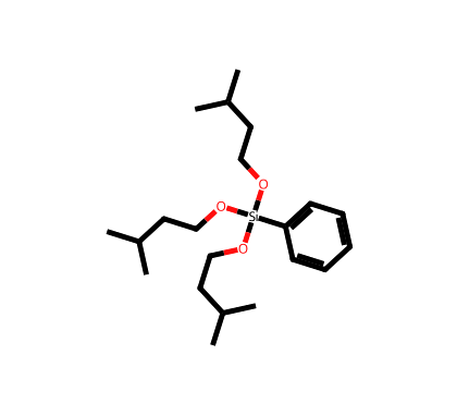 CC(C)CCO[Si](OCCC(C)C)(OCCC(C)C)c1ccccc1